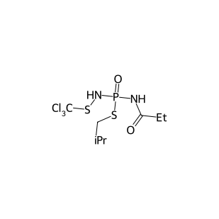 CCC(=O)NP(=O)(NSC(Cl)(Cl)Cl)SCC(C)C